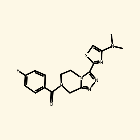 CN(C)c1csc(-c2nnc3n2CCN(C(=O)c2ccc(F)cc2)C3)n1